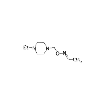 CC=NOCN1CCN(CC)CC1